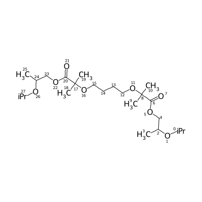 CC(C)OC(C)COC(=O)C(C)(C)OCCCCOC(C)(C)C(=O)OCC(C)OC(C)C